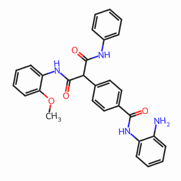 COc1ccccc1NC(=O)C(C(=O)Nc1ccccc1)c1ccc(C(=O)Nc2ccccc2N)cc1